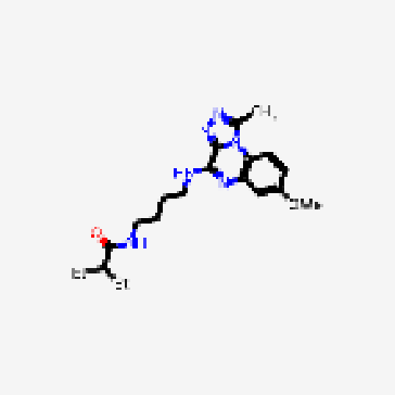 CCC(CC)C(=O)NCCCCNc1nc2cc(OC)ccc2n2c(C)nnc12